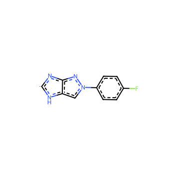 Fc1ccc(-n2cc3[nH][c]nc3n2)cc1